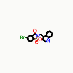 O=C1c2cc(Br)ccc2S(=O)(=O)N1Cc1ccnc2ccccc12